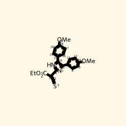 CCOC(=O)C(=C=S)c1nc(-c2ccc(OC)cc2)c(-c2ccc(OC)cc2)[nH]1